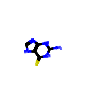 NC1NC(=S)c2[nH]cnc2N1